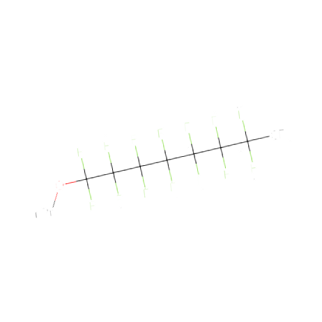 CCCOC(F)(F)C(F)(F)C(F)(F)C(F)(F)C(F)(F)C(F)(F)C(F)(F)C(F)(F)F